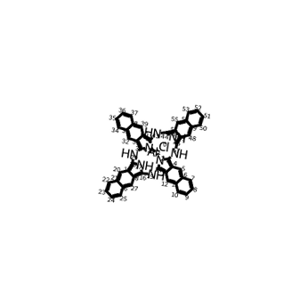 [Cl][Al]1[n]2c3c4cc5ccccc5cc4c2Nc2[nH]c(c4cc5ccccc5cc24)Nc2c4cc5ccccc5cc4c([n]21)Nc1[nH]c(c2cc4ccccc4cc12)N3